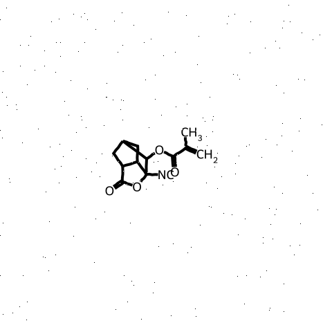 [C-]#[N+]C12OC(=O)C3CC(CC31)C2OC(=O)C(=C)C